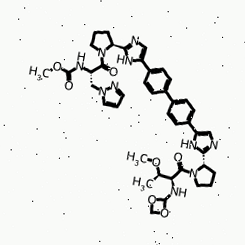 COC(=O)N[C@@H](Cn1cccn1)C(=O)N1CCC[C@H]1c1ncc(-c2ccc(-c3ccc(-c4cnc([C@@H]5CCCN5C(=O)[C@@H](NC5OCO5)[C@@H](C)OC)[nH]4)cc3)cc2)[nH]1